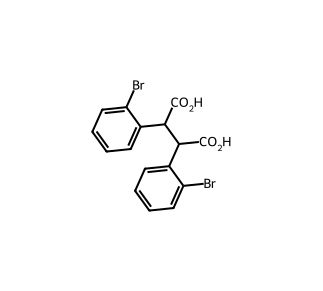 O=C(O)C(c1ccccc1Br)C(C(=O)O)c1ccccc1Br